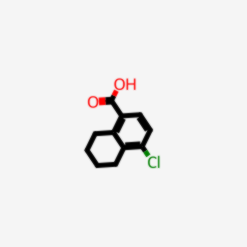 O=C(O)c1ccc(Cl)c2c1CCCC2